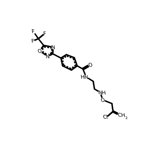 C=C(Cl)CONCCNC(=O)c1ccc(-c2noc(C(F)(F)F)n2)cc1